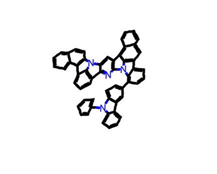 c1ccc(-n2c3ccccc3c3cc(-c4cccc5c6cc7ccccc7c7c8cc9c(nc8n(c45)c67)c4cccc5c6c7ccccc7ccc6n9c45)ccc32)cc1